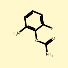 NC(=O)Oc1c(N)cccc1F